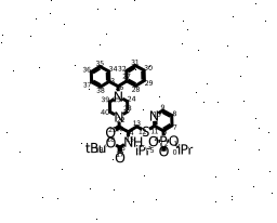 CC(C)OP(=O)(OC(C)C)c1cccnc1SCC(NC(=O)OC(C)(C)C)C(=O)N1CCN(C(c2ccccc2)c2ccccc2)CC1